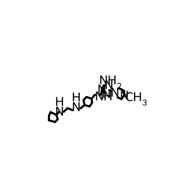 CN1CCN(c2nc(N)nc(NCC3CCC(CNCCCNC4CCCCC4)CC3)n2)CC1